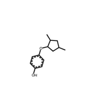 CC1CC(C)C(Oc2ccc(O)cc2)C1